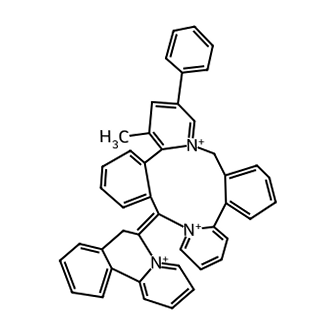 Cc1cc(-c2ccccc2)c[n+]2c1-c1ccccc1/C(=C1\Cc3ccccc3-c3cccc[n+]31)[n+]1ccccc1-c1ccccc1C2